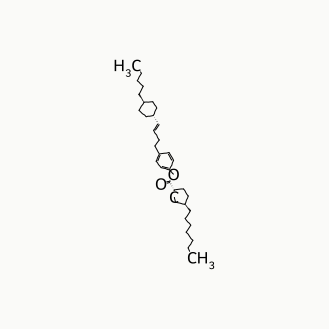 CCCCCCC[C@H]1CC[C@H](C(=O)Oc2ccc(CCC=C[C@H]3CC[C@H](CCCCC)CC3)cc2)CC1